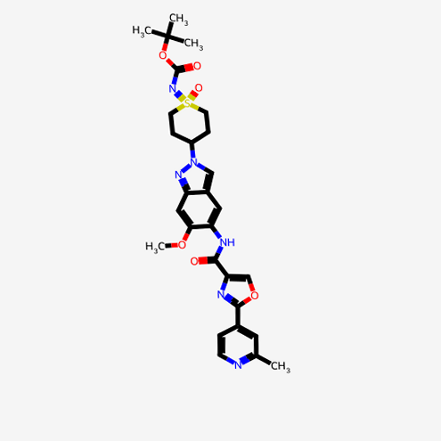 COc1cc2nn(C3CCS(=O)(=NC(=O)OC(C)(C)C)CC3)cc2cc1NC(=O)c1coc(-c2ccnc(C)c2)n1